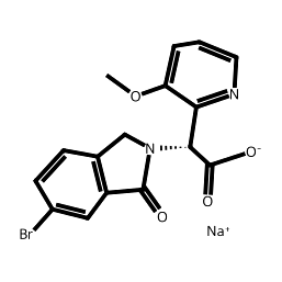 COc1cccnc1[C@H](C(=O)[O-])N1Cc2ccc(Br)cc2C1=O.[Na+]